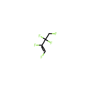 FC=C(F)C(F)(F)CF